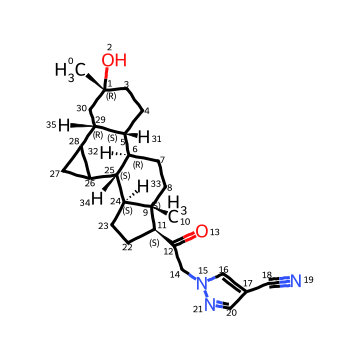 C[C@@]1(O)CC[C@@H]2[C@H]3CC[C@]4(C)[C@@H](C(=O)Cn5cc(C#N)cn5)CC[C@H]4[C@@H]3C3CC3[C@@H]2C1